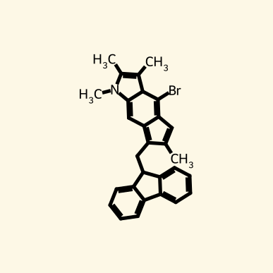 CC1=CC2=C(Br)C3C(=CC2=C1CC1c2ccccc2-c2ccccc21)N(C)C(C)=C3C